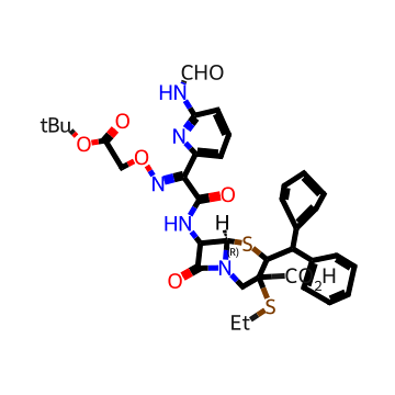 CCSC1(C(=O)O)CN2C(=O)C(NC(=O)C(=NOCC(=O)OC(C)(C)C)c3cccc(NC=O)n3)[C@H]2SC1C(c1ccccc1)c1ccccc1